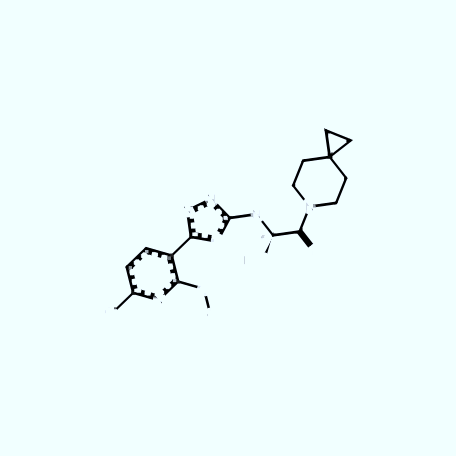 COc1nc(Cl)ccc1-c1nnc(N[C@H](C)C(=O)N2CCC3(CC2)CC3)o1